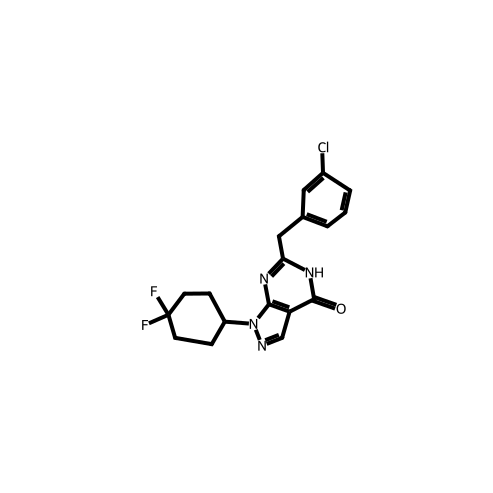 O=c1[nH]c(Cc2cccc(Cl)c2)nc2c1cnn2C1CCC(F)(F)CC1